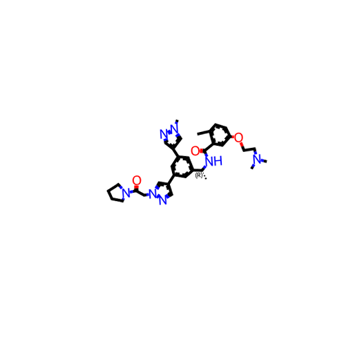 Cc1ccc(OCCN(C)C)cc1C(=O)N[C@H](C)c1cc(-c2cnn(C)c2)cc(-c2cnn(CC(=O)N3CCCC3)c2)c1